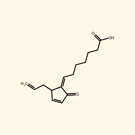 C=CCC1C=CC(=O)/C1=C\CCCCCC(=O)O